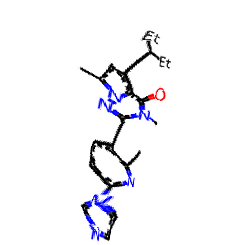 CCC(CC)c1cc(C)n2nc(-c3ccc(-n4ccnc4)nc3C)n(C)c(=O)c12